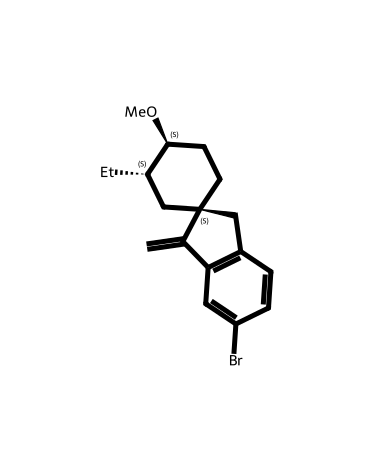 C=C1c2cc(Br)ccc2C[C@@]12CC[C@H](OC)[C@@H](CC)C2